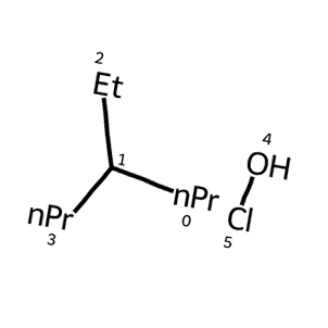 CCCC(CC)CCC.OCl